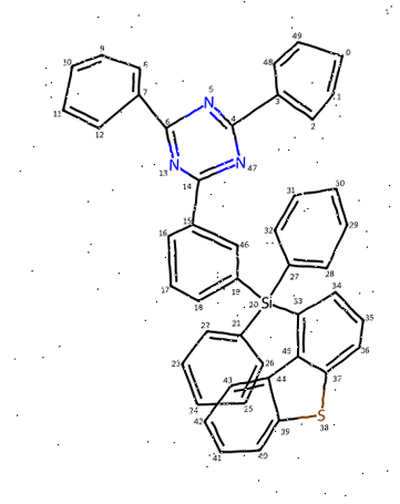 c1ccc(-c2nc(-c3ccccc3)nc(-c3cccc([Si](c4ccccc4)(c4ccccc4)c4cccc5sc6ccccc6c45)c3)n2)cc1